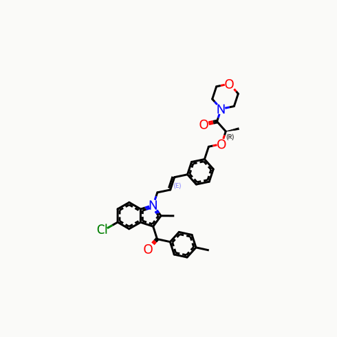 Cc1ccc(C(=O)c2c(C)n(C/C=C/c3cccc(CO[C@H](C)C(=O)N4CCOCC4)c3)c3ccc(Cl)cc23)cc1